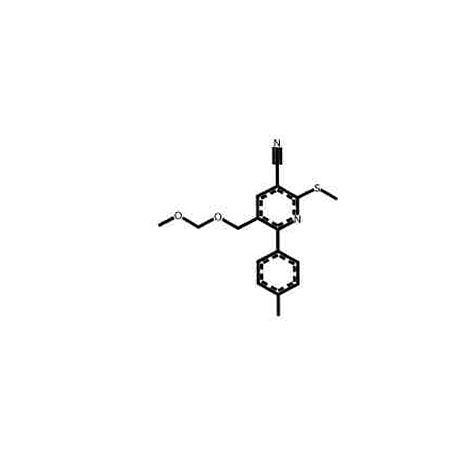 COCOCc1cc(C#N)c(SC)nc1-c1ccc(C)cc1